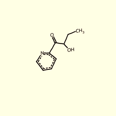 CCC(O)C(=O)c1ccccn1